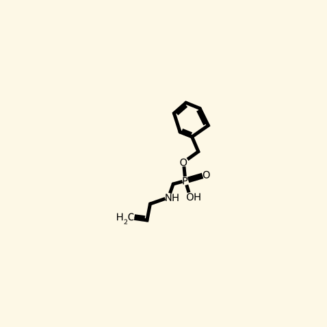 C=CCNCP(=O)(O)OCc1ccccc1